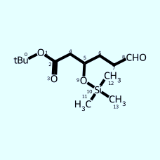 CC(C)(C)OC(=O)CC(CCC=O)O[Si](C)(C)C